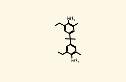 CCc1cc(C(C)(C)c2cc(C)c(N)c(CC)c2)cc(C)c1N